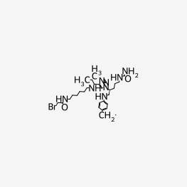 [CH2]c1ccc(NC[C@H](CCCNC(N)=O)n2cc([C@@H](NCCCCCCNC(=O)CBr)C(C)C)nn2)cc1